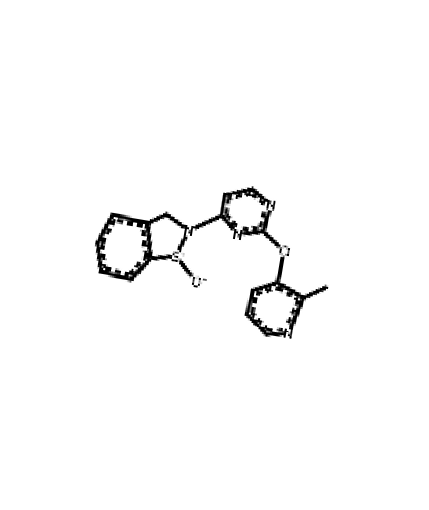 Cc1ncccc1Oc1nccc(N2Cc3ccccc3[S+]2[O-])n1